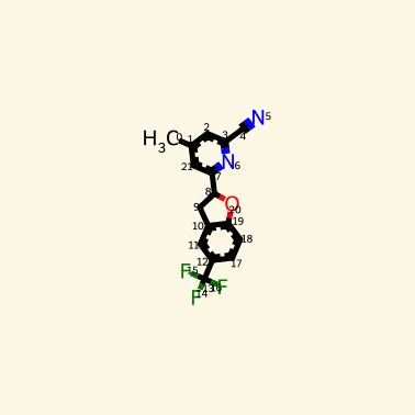 Cc1cc(C#N)nc(C2Cc3cc(C(F)(F)F)ccc3O2)c1